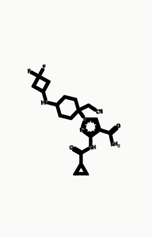 N#CCC1(n2cc(C(N)=O)c(NC(=O)C3CC3)n2)CCC(NC2CC(F)(F)C2)CC1